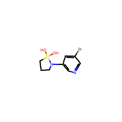 OS1(O)CCCN1c1cncc(Br)c1